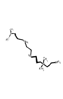 CN(C)CCNCCNCC[N+](C)(C)CCN